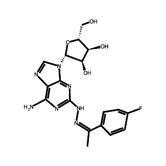 C/C(=N/Nc1nc(N)c2ncn([C@@H]3O[C@H](CO)[C@@H](O)[C@H]3O)c2n1)c1ccc(F)cc1